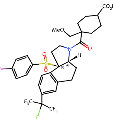 COCC1(C(=O)N2CC[C@@]3(S(=O)(=O)c4ccc(I)cc4)c4ccc(C(F)(C(F)(F)F)C(F)(F)F)cc4CC[C@@H]23)CCC(C(=O)O)CC1